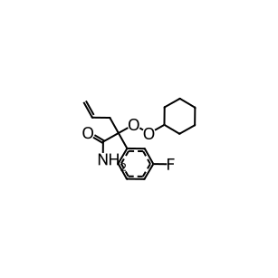 C=CCC(OOC1CCCCC1)(C(N)=O)c1cccc(F)c1